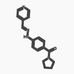 O=C(c1ccc(NN=Cc2ccncc2)cc1)N1CCCC1